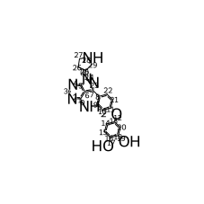 Nc1ncnc2c1c(-c1ccc(Oc3ccc(O)c(O)c3)cc1)nn2[C@@H]1CCNC1